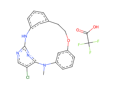 CN1c2cccc(c2)OCCc2cccc(c2)Nc2ncc(Cl)c1n2.O=C(O)C(F)(F)F